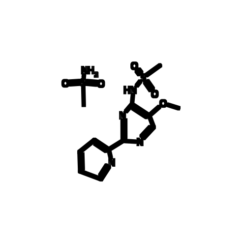 COc1cnc(-c2ccccn2)nc1NS(C)(=O)=O.CS(N)(=O)=O